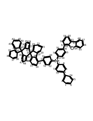 c1ccc(-c2ccc(N(c3ccc(-c4cccc5c4-c4ccccc4C54c5ccccc5C(c5ccccc5)(c5ccccc5)c5ccccc54)cc3)c3ccc(-c4cccc5c4oc4ccccc45)cc3)cc2)cc1